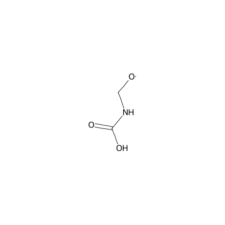 [O]CNC(=O)O